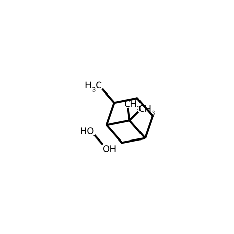 CC1CCC2CC1C2(C)C.OO